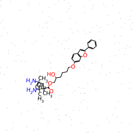 CC(C)(N)CC(C)(C(=O)OCC(O)CCCCOc1ccc2cc(-c3ccccc3)oc2c1)C(C)(C)N